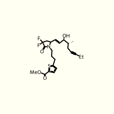 CCC#CC[C@@H](C)[C@H](O)/C=C/C1CC(F)(F)C(=O)N1CCCc1ccc(C(=O)OC)s1